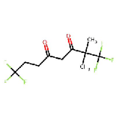 CC(C)(C(=O)CC(=O)CCC(F)(F)F)C(F)(F)F